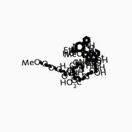 CC[C@]1(O)CC2CN(CCc3c([nH]c4ccccc34)[C@@](C)(c3cc4c(cc3OC)N(C)[C@H]3[C@@](O)(C(=O)NNC(O)OCCSSCC(CC(=O)[C@H](CNC(=O)CCOCCOCCOCCOC)NC(=O)[C@H](C)CC(=O)[C@H](CN)NC(C)=O)C(=O)O)[C@H](O)[C@]5(CC)C=CCN6CC[C@]43[C@@H]65)C2)C1